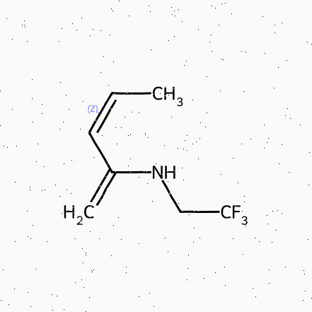 C=C(/C=C\C)NCC(F)(F)F